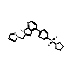 O=S(=O)(c1ccc(-c2ccnc3[nH]c(Cn4cccn4)cc23)cc1)N1CCCC1